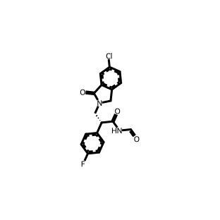 O=CNC(=O)[C@@H](CN1Cc2ccc(Cl)cc2C1=O)c1ccc(F)cc1